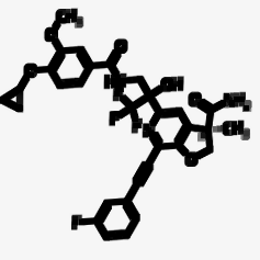 COc1cc(C(=O)NCC(O)(c2cc3c(c(C#Cc4cccc(F)c4)n2)OC[C@]3(C)C(N)=O)C(F)(F)F)ccc1OC1CC1